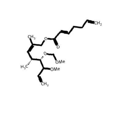 C=CCC/C=C/C(=O)OC/C(C)=C\[C@@H](C)[C@H](OCOC)C(C=C)OC